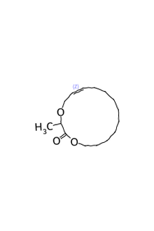 CC1OC/C=C\CCCCCCCCCOC1=O